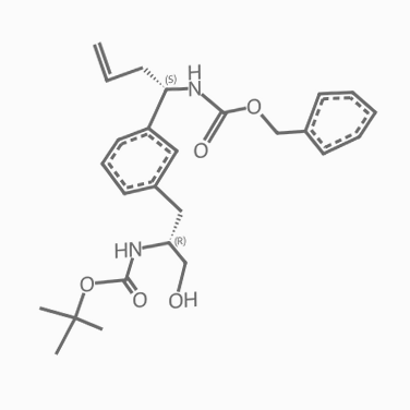 C=CC[C@H](NC(=O)OCc1ccccc1)c1cccc(C[C@H](CO)NC(=O)OC(C)(C)C)c1